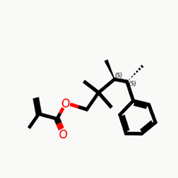 C=C(C)C(=O)OCC(C)(C)[C@@H](C)[C@H](C)c1ccccc1